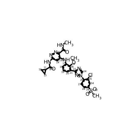 CNC(=O)c1nnc(NC(=O)C2CC2)cc1Nc1cccc(-c2ncn(-c3ccc(S(C)(=O)=O)cc3Cl)n2)c1OC